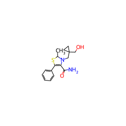 CC1SC(c2ccccc2)=C(C(N)=O)N1CC1(CO)CC1